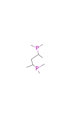 CC(CC(C)P(C)C)P(C)C